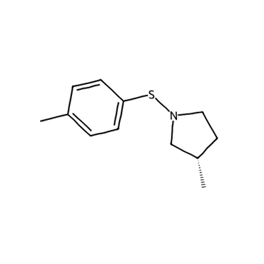 Cc1ccc(SN2CC[C@H](C)C2)cc1